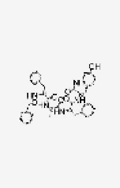 C[C@H](NC(=O)[C@H](Cc1ccccc1)NOCc1ccccc1)C(=O)N[C@@H](Cc1ccccc1)C(=O)N[C@@H](Cc1ccc(O)cc1)C(N)=O